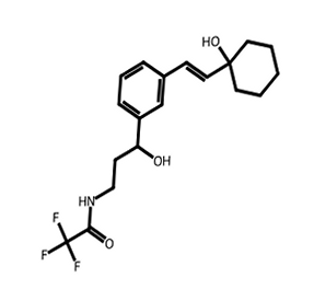 O=C(NCCC(O)c1cccc(/C=C/C2(O)CCCCC2)c1)C(F)(F)F